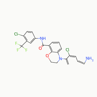 C=C(/C(Cl)=C\C=C/N)N1CCOc2c(C(=O)Nc3ccc(Cl)c(C(F)(F)F)c3)cccc21